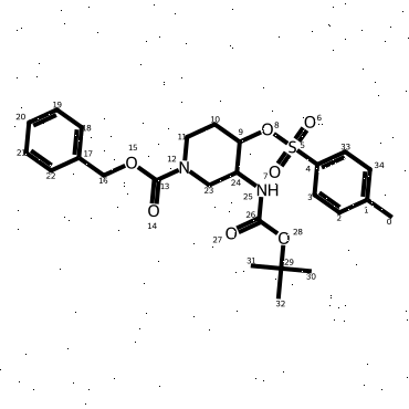 Cc1ccc(S(=O)(=O)OC2CCN(C(=O)OCc3ccccc3)CC2NC(=O)OC(C)(C)C)cc1